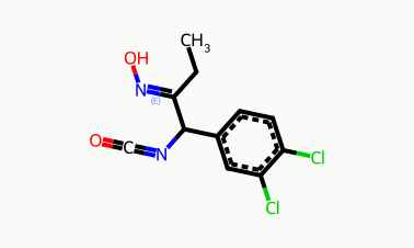 CC/C(=N\O)C(N=C=O)c1ccc(Cl)c(Cl)c1